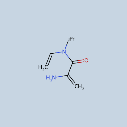 C=CN(C(=O)C(=C)N)C(C)C